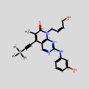 Cc1c(C#C[Si](C(C)C)(C(C)C)C(C)C)c2cnc(Nc3cccc(O)c3)nc2n(C/C=C\CO)c1=O